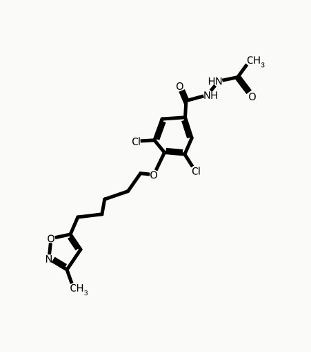 CC(=O)NNC(=O)c1cc(Cl)c(OCCCCCc2cc(C)no2)c(Cl)c1